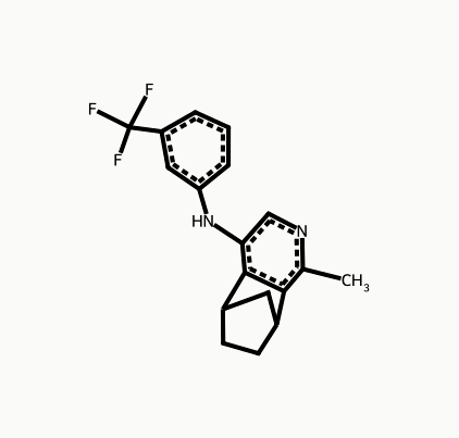 Cc1ncc(Nc2cccc(C(F)(F)F)c2)c2c1C1CCC2C1